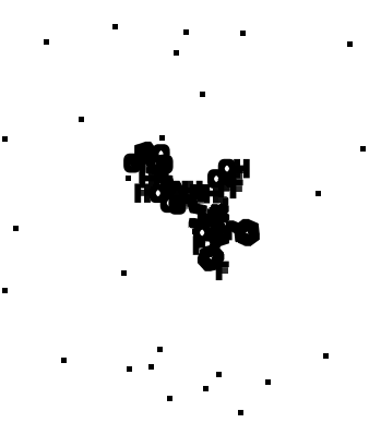 CC(=O)N(CC[C@H](N)C(=O)N[C@H](CNC(=O)CN1C(=O)C=CC1=O)C(=O)O)[C@@H](c1cc(-c2cc(F)ccc2F)cn1Cc1ccccc1)C(C)(C)C.O=C(O)C(F)(F)F